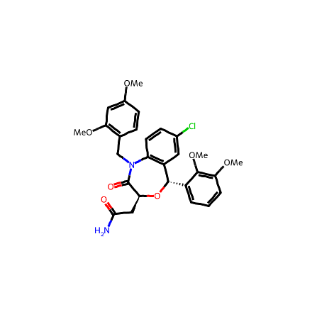 COc1ccc(CN2C(=O)[C@H](CC(N)=O)O[C@@H](c3cccc(OC)c3OC)c3cc(Cl)ccc32)c(OC)c1